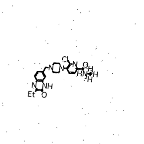 [2H]C([2H])([2H])NC(=O)c1ccc(N2CCN(Cc3ccc4nc(CC)c(=O)[nH]c4c3)CC2)c(Cl)n1